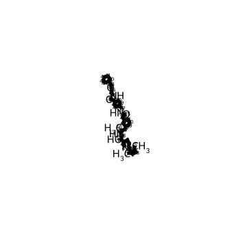 Cc1ccc(C)n1-c1ccc([C@@H](O)CN[C@H](C)Cc2cccc(CC(=O)NCc3ccc(C(=O)NCCOCc4ccccc4)cc3)c2)cn1